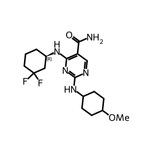 COC1CCC(Nc2ncc(C(N)=O)c(N[C@@H]3CCCC(F)(F)C3)n2)CC1